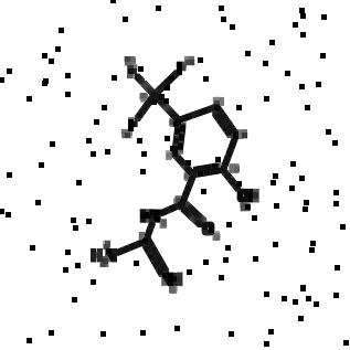 N=C(N)NC(=O)c1cc(C(F)(F)F)ccc1O